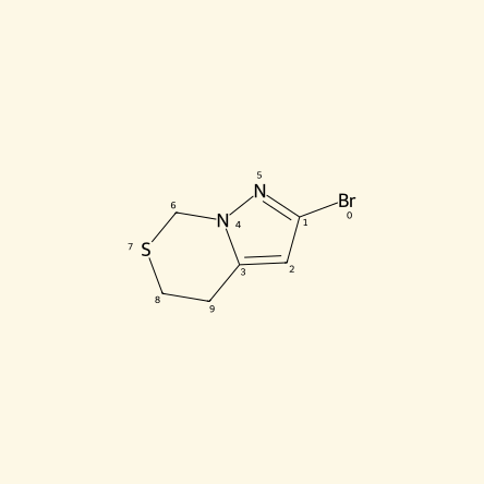 Brc1cc2n(n1)CSCC2